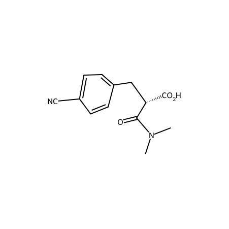 CN(C)C(=O)[C@H](Cc1ccc(C#N)cc1)C(=O)O